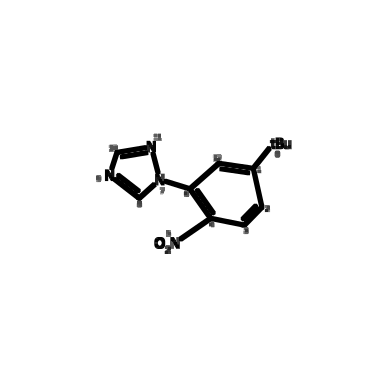 CC(C)(C)c1ccc([N+](=O)[O-])c(-n2cncn2)c1